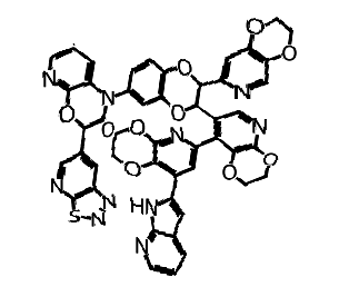 O=C1C(c2cnc3snnc3c2)Oc2nc[c]cc2N1c1ccc2c(c1)OC(c1cnc3c(c1-c1cc(-c4cc5cccnc5[nH]4)c4c(n1)OCCO4)OCCO3)C(c1cc3c(cn1)OCCO3)O2